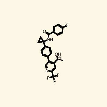 C[C@H](O)c1cc(C(F)(F)F)ncc1-c1ccc(C2(NC(=O)c3ccc(F)cc3)CC2)cc1